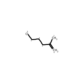 C=C(C)CCCCl